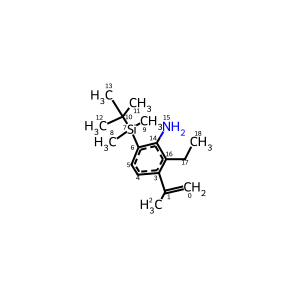 C=C(C)c1ccc([Si](C)(C)C(C)(C)C)c(N)c1CC